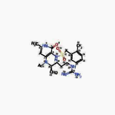 CC(=O)N(c1cc(C)[nH]c(=O)c1NS(=O)(=O)Cc1ccccc1C(F)(F)F)[C@H](C=O)CCCNC(=N)N